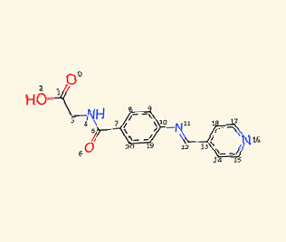 O=C(O)CNC(=O)c1ccc(N=Cc2ccncc2)cc1